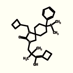 CN(C)C1(c2ccccc2)CCC2(CC1)CN(CC(C)(C)C(O)=C1CCC1)C(=O)N2CC1CCC1